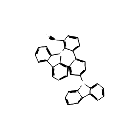 N#Cc1cccc(-c2ccc(-n3c4ccccc4c4ccccc43)cc2)c1-n1c2ccccc2c2ccccc21